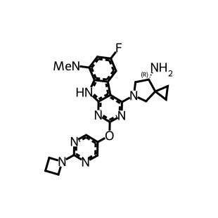 CNc1cc(F)cc2c1[nH]c1nc(Oc3cnc(N4CCC4)nc3)nc(N3C[C@H](N)C4(CC4)C3)c12